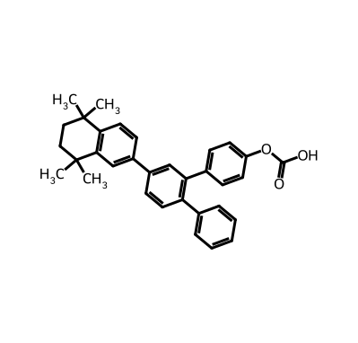 CC1(C)CCC(C)(C)c2cc(-c3ccc(-c4ccccc4)c(-c4ccc(OC(=O)O)cc4)c3)ccc21